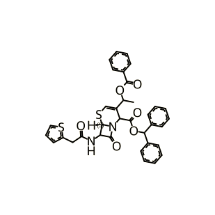 CC(OC(=O)c1ccccc1)C1=CS[C@H]2C(NC(=O)Cc3cccs3)C(=O)N2C1C(=O)OC(c1ccccc1)c1ccccc1